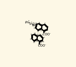 C[CH](C)[Sn+2][CH](C)C.O=C([O-])c1cccc2ccccc12.O=C([O-])c1cccc2ccccc12